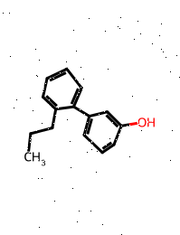 CCCc1ccccc1-c1cccc(O)c1